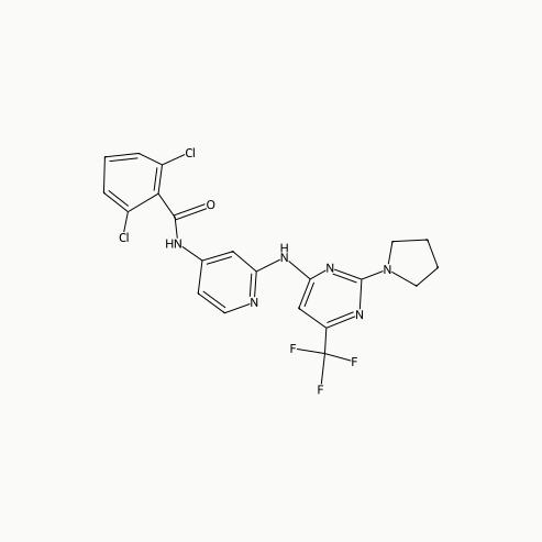 O=C(Nc1ccnc(Nc2cc(C(F)(F)F)nc(N3CCCC3)n2)c1)c1c(Cl)cccc1Cl